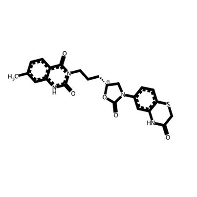 Cc1ccc2c(=O)n(CCC[C@@H]3CN(c4ccc5c(c4)NC(=O)CS5)C(=O)O3)c(=O)[nH]c2c1